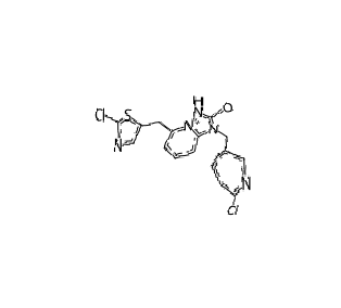 O=c1[nH][n+]2c(Cc3cnc(Cl)s3)cccc2n1Cc1ccc(Cl)nc1